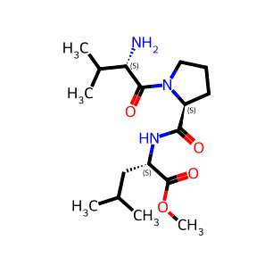 COC(=O)[C@H](CC(C)C)NC(=O)[C@@H]1CCCN1C(=O)[C@@H](N)C(C)C